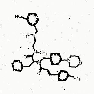 CN(CCN(C)C(=O)C(Cc1ccccc1)N(Cc1ccc(N2CCOCC2)cc1)C(=O)C=Cc1ccc(C(F)(F)F)cc1)Cc1cccc(C#N)c1